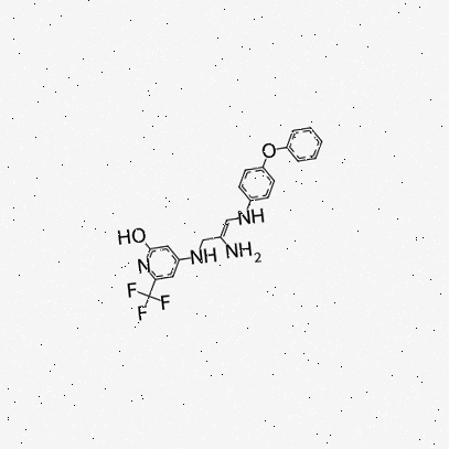 N/C(=C\Nc1ccc(Oc2ccccc2)cc1)CNc1cc(O)nc(C(F)(F)F)c1